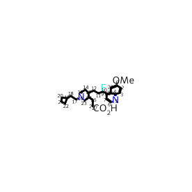 COc1ccc2nccc([C@@H](F)CCC3CCN(CCC4CCC4)CC3CCC(=O)O)c2c1